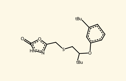 CC(C)(C)c1cccc(OC(CSCc2n[nH]c(=O)o2)C(C)(C)C)c1